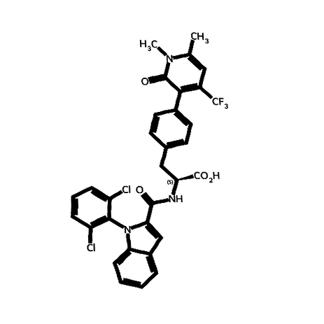 Cc1cc(C(F)(F)F)c(-c2ccc(C[C@H](NC(=O)c3cc4ccccc4n3-c3c(Cl)cccc3Cl)C(=O)O)cc2)c(=O)n1C